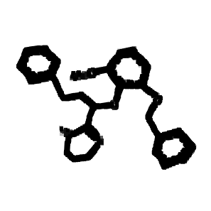 COc1cccc(OCc2ccccc2)c1OC(CCc1ccccc1)C1=NCCN1